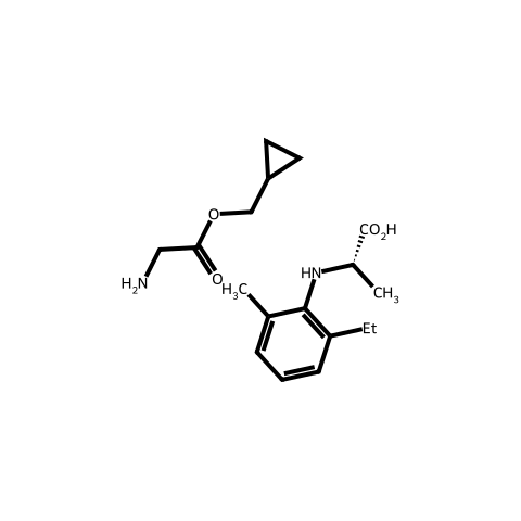 CCc1cccc(C)c1N[C@@H](C)C(=O)O.NCC(=O)OCC1CC1